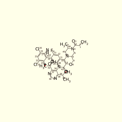 C=CC(=O)N1CC2COc3c(c4cc(F)c(-c5c(N)c(Cl)cc(Cl)c5F)c(Cl)c4n(-c4c(C(C)C)ncnc4C(C)C)c3=O)N2CC1C